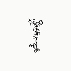 CC(C)(C)OC(=O)N[C@@H](Cc1ccccc1)C(=O)O[C@@H]1CO[C@H]2[C@@H]1OC[C@H]2OC(=O)CCC[C@@H](CO[N+](=O)[O-])O[N+](=O)[O-]